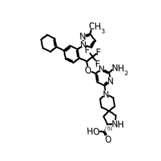 Cc1ccn(-c2cc(C3=CCCCC3)ccc2C(Oc2cc(N3CCC4(CC3)CN[C@H](C(=O)O)C4)nc(N)n2)C(F)(F)F)n1